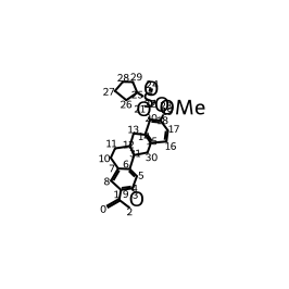 C=C1COc2cc3c(cc21)CCC1Cc2c(ccc(OC)c2OS(=O)(=O)C2CCCC2)CC31